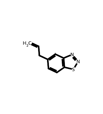 C=CCc1[c]c2nnsc2cc1